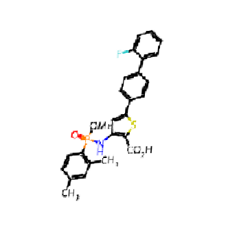 COP(=O)(Nc1cc(-c2ccc(-c3ccccc3F)cc2)sc1C(=O)O)c1ccc(C)cc1C